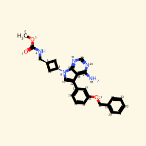 COC(=O)NC[C@H]1C[C@H](n2cc(-c3cccc(OCc4ccccc4)c3)c3c(N)ncnc32)C1